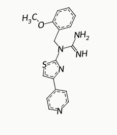 COc1ccccc1CN(C(=N)N)c1nc(-c2ccncc2)cs1